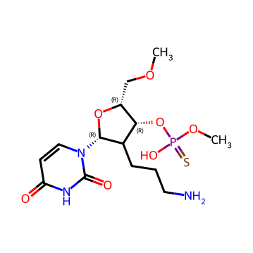 COC[C@H]1O[C@@H](n2ccc(=O)[nH]c2=O)C(CCCN)[C@H]1OP(O)(=S)OC